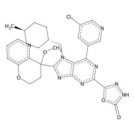 COC1(c2nc3nc(-c4n[nH]c(=O)o4)nc(-c4cncc(Cl)c4)c3n2C[C@H]2CC[C@H](C)CC2)CCOc2cccnc21